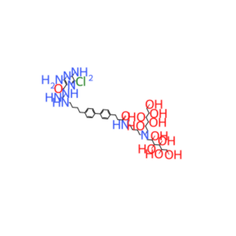 N=C(NCCCCc1ccc(-c2ccc(CCC(=O)NCCCCN(CC(O)C(O)C(O)C(O)CO)CC(O)C(O)C(O)C(O)CO)cc2)cc1)NC(=O)c1nc(Cl)c(N)nc1N